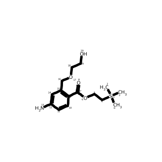 C[Si](C)(C)CCOC(=O)c1ccc(N)cc1COCCO